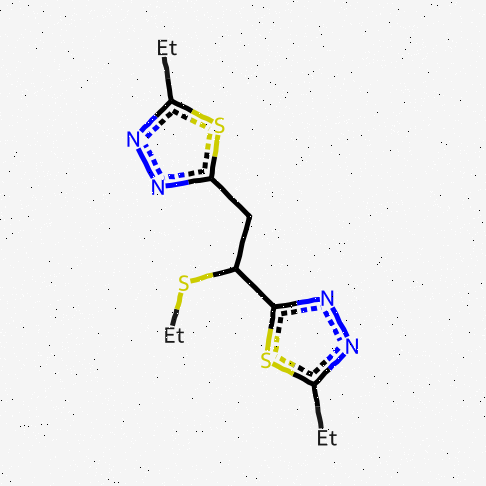 CCSC(Cc1nnc(CC)s1)c1nnc(CC)s1